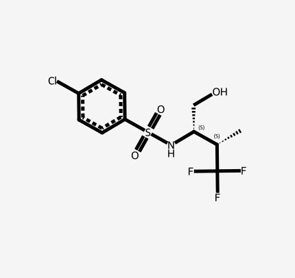 C[C@@H]([C@@H](CO)NS(=O)(=O)c1ccc(Cl)cc1)C(F)(F)F